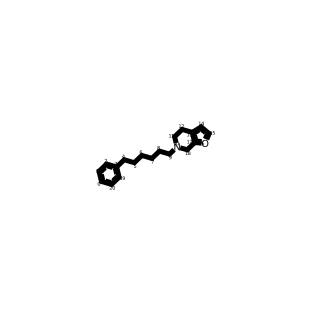 c1ccc(CCCCCCN2CCc3ccoc3C2)cc1